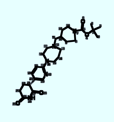 CC(C)(C)OC(=O)N1CCC(CN2CCCN(c3ccc([C@H]4CCC(=O)NC4=O)cn3)CC2)CC1